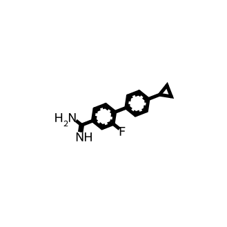 N=C(N)c1ccc(-c2ccc(C3CC3)cc2)c(F)c1